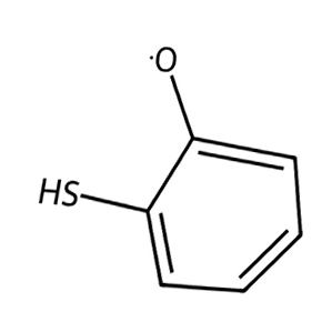 [O]c1ccccc1S